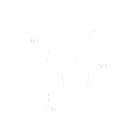 C=CCc1c(N)ccc(C(=O)O)c1CC=C